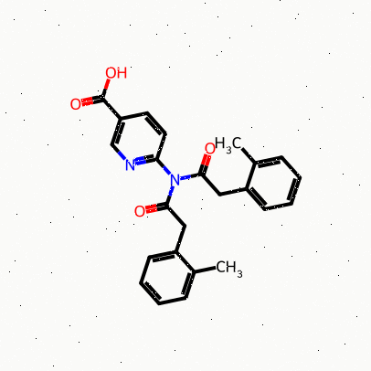 Cc1ccccc1CC(=O)N(C(=O)Cc1ccccc1C)c1ccc(C(=O)O)cn1